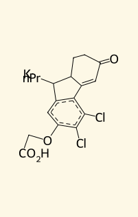 CCCC1c2cc(OCC(=O)O)c(Cl)c(Cl)c2C2=CC(=O)CCC21.[K]